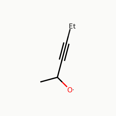 CCC#CC(C)[O]